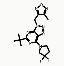 Cc1nonc1Cn1nnc2c(N3CCC(F)(F)C3)nc(C(C)(C)C)nc21